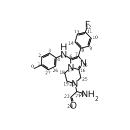 Cc1ccc(Nc2c(-c3ccc(F)cc3)nc3n2CCN(C(N)C=O)C3)cc1